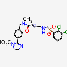 CN(Cc1ccc(C2=NCCN2C(=O)O)cc1)C(=O)/C=C/CNCS(=O)(=O)c1cccc(Cl)c1Cl